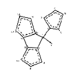 CC1(c2cccs2)c2ccsc2-c2sccc21